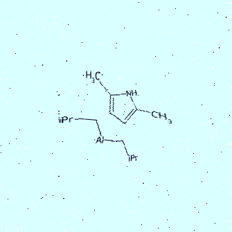 CC(C)[CH2][Al][CH2]C(C)C.Cc1ccc(C)[nH]1